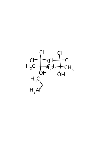 CC(C)(O)C(Cl)(Cl)Cl.CC(C)(O)C(Cl)(Cl)Cl.C[CH2][AlH2]